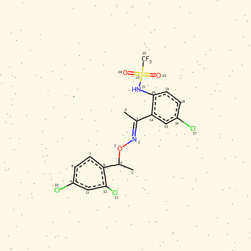 C/C(=N\OC(C)c1ccc(Cl)cc1Cl)c1cc(Cl)ccc1NS(=O)(=O)C(F)(F)F